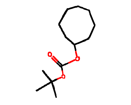 CC(C)(C)OC(=O)OC1CCCCCCC1